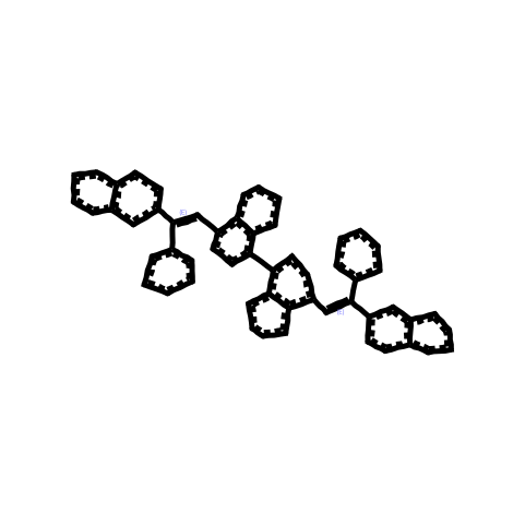 C(=C(/c1ccccc1)c1ccc2ccccc2c1)/c1ccc(-c2ccc(/C=C(\c3ccccc3)c3ccc4ccccc4c3)c3ccccc23)c2ccccc12